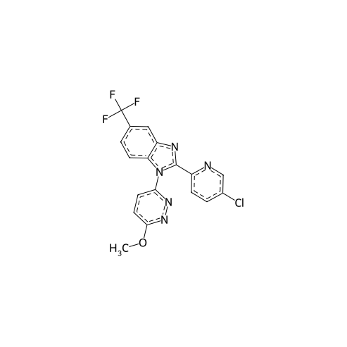 COc1ccc(-n2c(-c3ccc(Cl)cn3)nc3cc(C(F)(F)F)ccc32)nn1